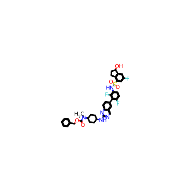 CN(C(=O)OCc1ccccc1)C1CCC(Nc2ncc3cc(-c4c(F)ccc(NS(=O)(=O)c5cc(F)cc6c5CCC6O)c4F)ccc3n2)CC1